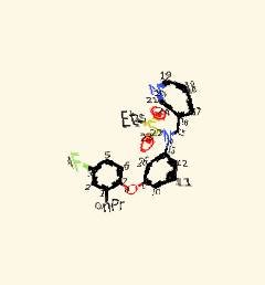 CCCc1cc(F)ccc1Oc1cccc(N(Cc2cccnc2)S(=O)(=O)CC)c1